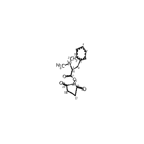 CN(C)[C@@H](Cc1ccccc1)C(=O)ON1C(=O)CCC1=O